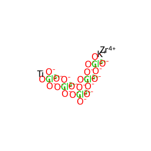 [K+].[O-][Cl+3]([O-])([O-])[O-].[O-][Cl+3]([O-])([O-])[O-].[O-][Cl+3]([O-])([O-])[O-].[O-][Cl+3]([O-])([O-])[O-].[O-][Cl+3]([O-])([O-])[O-].[Ti].[Zr+4]